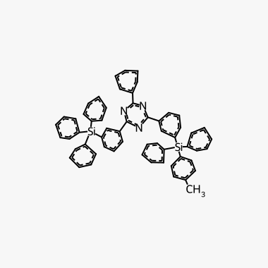 Cc1ccc([Si](c2ccccc2)(c2ccccc2)c2cccc(-c3nc(-c4ccccc4)nc(-c4cccc([Si](c5ccccc5)(c5ccccc5)c5ccccc5)c4)n3)c2)cc1